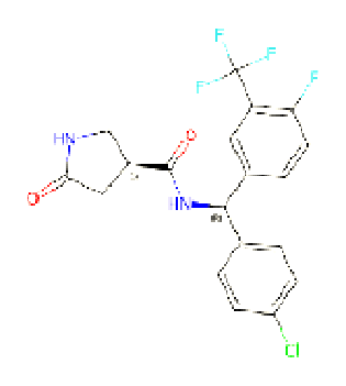 O=C1C[C@H](C(=O)N[C@H](c2ccc(Cl)cc2)c2ccc(F)c(C(F)(F)F)c2)CN1